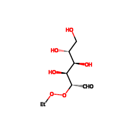 CCOO[C@@H](C=O)[C@@H](O)[C@H](O)[C@H](O)CO